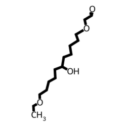 CCOCCCCCC(O)CCCCCOCC=O